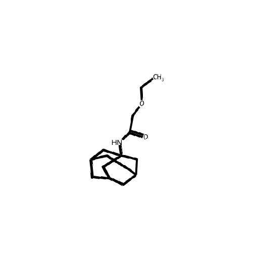 CCOCC(=O)NC12CC3CC(CC(C3)C1)C2